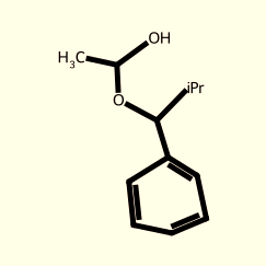 CC(O)OC(c1ccccc1)C(C)C